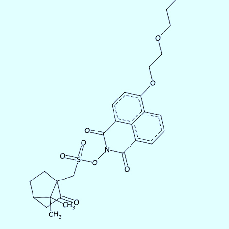 COCCOCCOc1ccc2c3c(cccc13)C(=O)N(OS(=O)(=O)CC13CCC(CC1=O)C3(C)C)C2=O